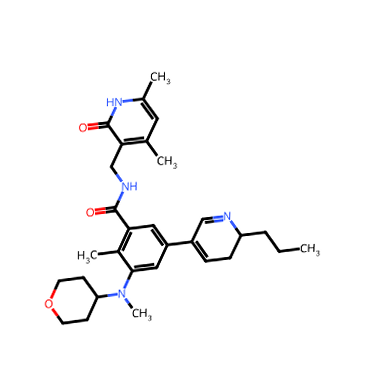 CCCC1CC=C(c2cc(C(=O)NCc3c(C)cc(C)[nH]c3=O)c(C)c(N(C)C3CCOCC3)c2)C=N1